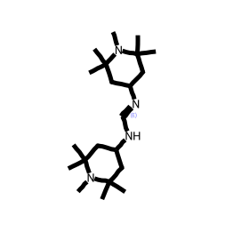 CN1C(C)(C)CC(/N=C/NC2CC(C)(C)N(C)C(C)(C)C2)CC1(C)C